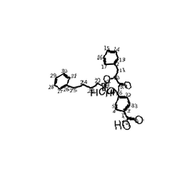 O=C(O)c1ccc(NC(=O)C(Cc2ccccc2)OP(=O)(O)CCCCc2ccccc2)cc1